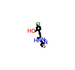 CC(CC#Cc1ccc(Cl)cc1CO)Nc1ncnc2sccc12